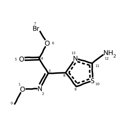 CON=C(C(=O)OBr)c1csc(N)n1